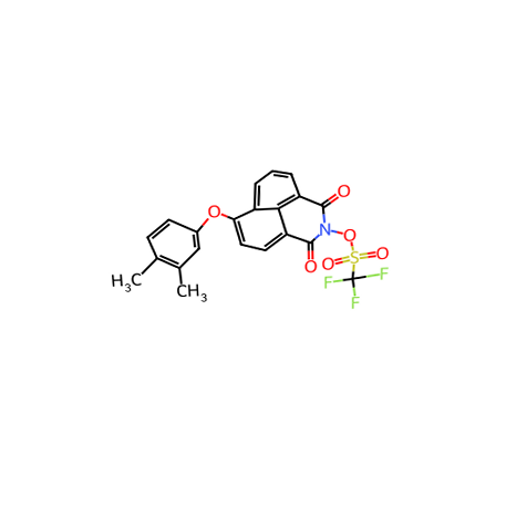 Cc1ccc(Oc2ccc3c4c(cccc24)C(=O)N(OS(=O)(=O)C(F)(F)F)C3=O)cc1C